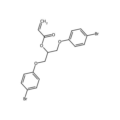 C=CC(=O)OC(COc1ccc(Br)cc1)COc1ccc(Br)cc1